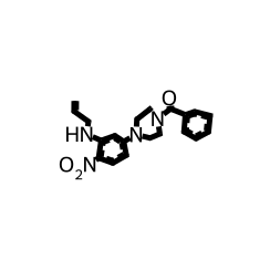 C=CCNc1cc(N2CCN(C(=O)c3ccccc3)CC2)ccc1[N+](=O)[O-]